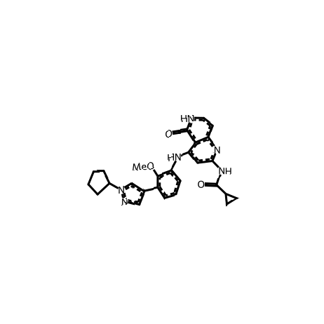 COc1c(Nc2cc(NC(=O)C3CC3)nc3cc[nH]c(=O)c23)cccc1-c1cnn(C2CCCC2)c1